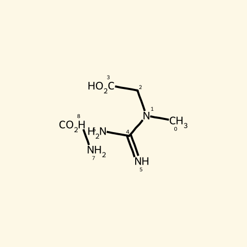 CN(CC(=O)O)C(=N)N.NC(=O)O